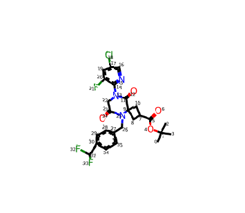 CC(C)(C)OC(=O)C1CC2(C1)C(=O)N(c1ncc(Cl)cc1F)CC(=O)N2Cc1ccc(C(F)F)cc1